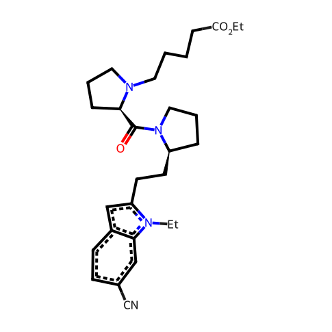 CCOC(=O)CCCCN1CCC[C@@H]1C(=O)N1CCC[C@H]1CCc1cc2ccc(C#N)cc2n1CC